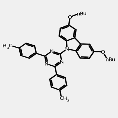 CCCCOc1ccc2c(c1)c1cc(OCCCC)ccc1n2-c1nc(-c2ccc(C)cc2)nc(-c2ccc(C)cc2)n1